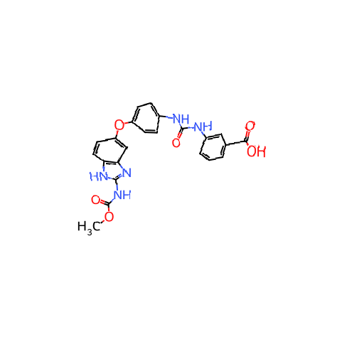 COC(=O)Nc1nc2cc(Oc3ccc(NC(=O)Nc4cccc(C(=O)O)c4)cc3)ccc2[nH]1